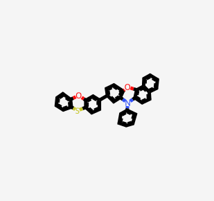 c1ccc(N2c3cc(-c4ccc5c(c4)Oc4ccccc4S5)ccc3Oc3c2ccc2ccccc32)cc1